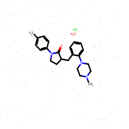 CN1CCN(c2ccccc2CC2CCN(c3ccc(C(F)(F)F)cc3)C2=O)CC1.Cl.O